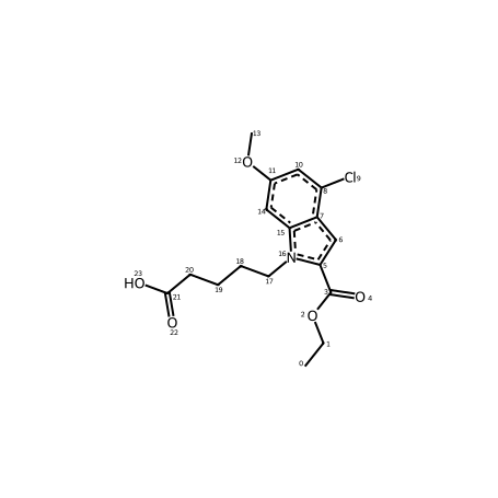 CCOC(=O)c1cc2c(Cl)cc(OC)cc2n1CCCCC(=O)O